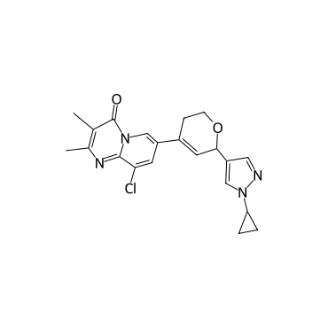 Cc1nc2c(Cl)cc(C3=CC(c4cnn(C5CC5)c4)OCC3)cn2c(=O)c1C